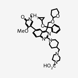 COc1cc(=O)n(C)cc1-c1ccc2nc(N3CCC(CN4CCN(C(=O)O)CC4)CC3)nc(C(COC3CCCCO3)(OC3CC3)c3ccccc3)c2c1